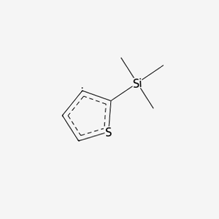 C[Si](C)(C)c1[c]ccs1